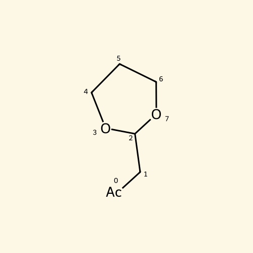 CC(=O)CC1OCCCO1